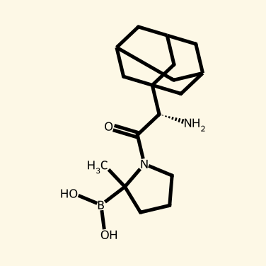 CC1(B(O)O)CCCN1C(=O)[C@@H](N)C12CC3CC(CC(C3)C1)C2